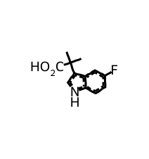 CC(C)(C(=O)O)c1c[nH]c2ccc(F)cc12